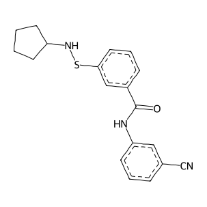 N#Cc1cccc(NC(=O)c2cccc(SNC3CCCC3)c2)c1